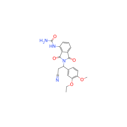 CCOc1cc(C(CC#N)N2C(=O)c3cccc(NC(N)=O)c3C2=O)ccc1OC